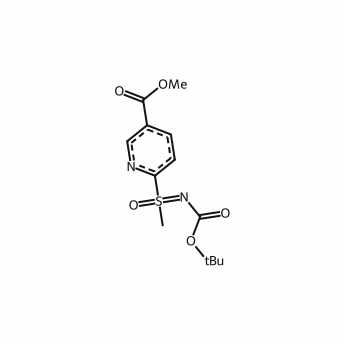 COC(=O)c1ccc(S(C)(=O)=NC(=O)OC(C)(C)C)nc1